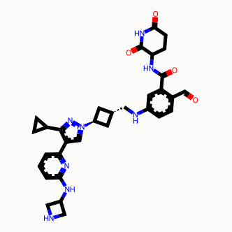 O=Cc1ccc(NC[C@H]2C[C@H](n3cc(-c4cccc(NC5CNC5)n4)c(C4CC4)n3)C2)cc1C(=O)NC1CCC(=O)NC1=O